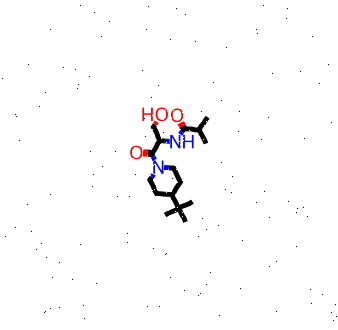 CC(C)C(=O)NC(CO)C(=O)N1CCC(C(C)(C)C)CC1